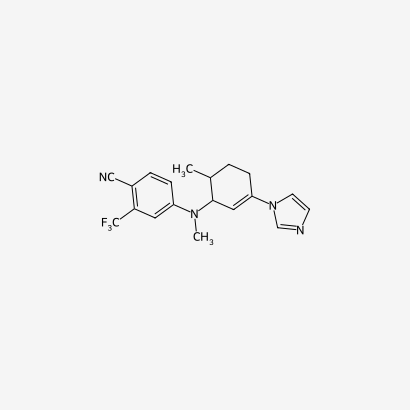 CC1CCC(n2ccnc2)=CC1N(C)c1ccc(C#N)c(C(F)(F)F)c1